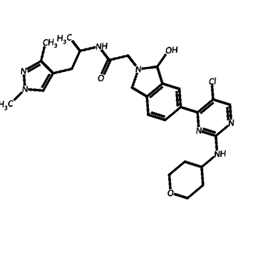 Cc1nn(C)cc1CC(C)NC(=O)CN1Cc2ccc(-c3nc(NC4CCOCC4)ncc3Cl)cc2C1O